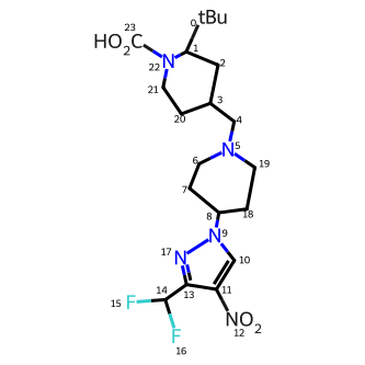 CC(C)(C)C1CC(CN2CCC(n3cc([N+](=O)[O-])c(C(F)F)n3)CC2)CCN1C(=O)O